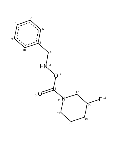 O=C(ONCc1ccccc1)N1CCCC(F)C1